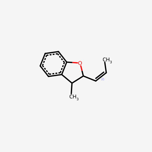 C/C=C\C1Oc2ccccc2C1C